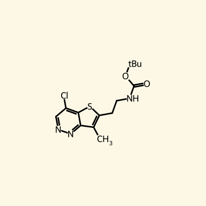 Cc1c(CCNC(=O)OC(C)(C)C)sc2c(Cl)cnnc12